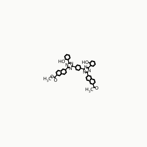 COC(=O)c1ccc2cc(-c3nc(-c4ccc(-c5nc(-c6ccc7cc(C(C)=O)ccc7c6)nc(-c6ccccc6O)n5)cc4)nc(-c4ccccc4O)n3)ccc2c1